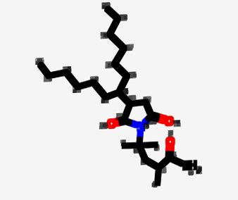 BC(=O)C(C)CC(C)(C)N1C(=O)CC(C(CCCCCC)CCCCCC)C1=O